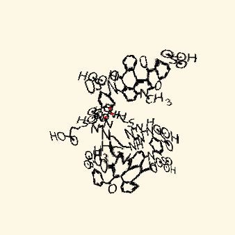 Cn1c(=O)c(C(=O)c2cccc(S(=O)(=O)O)c2)c2c3c(c(Nc4cc(Nc5nc(NCCNc6nc(Nc7cc(Nc8ccc9c%10c8C(=O)c8ccccc8-c%10c(C(=O)c8cccc(S(=O)(=O)O)c8)c(=O)n9C)c(S(=O)(=O)O)cc7S(=O)(=O)O)nc(SCCC(=O)O)n6)nc(SCCC(=O)O)n5)c(S(=O)(=O)O)cc4S(=O)(=O)O)ccc31)C(=O)c1ccccc1-2